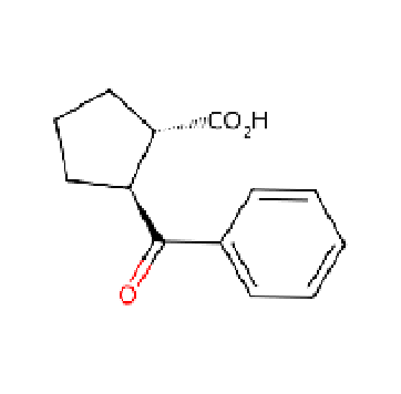 O=C(O)[C@H]1CCC[C@@H]1C(=O)c1ccccc1